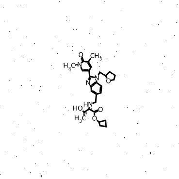 Cc1cc(-c2nc3cc(CN[C@H](C(=O)OC4CCC4)[C@@H](C)O)ccc3n2CC2CCCO2)cn(C)c1=O